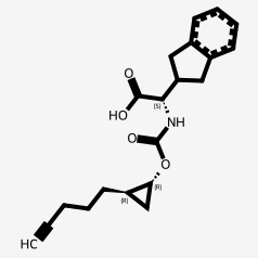 C#CCCC[C@@H]1C[C@H]1OC(=O)N[C@H](C(=O)O)C1Cc2ccccc2C1